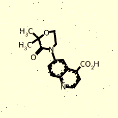 CC1(C)OCCN(c2ccc3nccc(C(=O)O)c3c2)C1=O